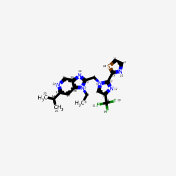 CCn1c(Cn2cc(C(F)(F)F)nc2-c2nccs2)nc2cnc(C(C)C)cc21